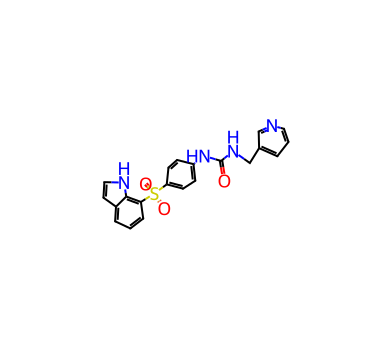 O=C(NCc1cccnc1)Nc1ccc(S(=O)(=O)c2cccc3cc[nH]c23)cc1